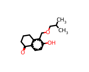 CC(C)COCc1c(O)ccc2c1CCCC2=O